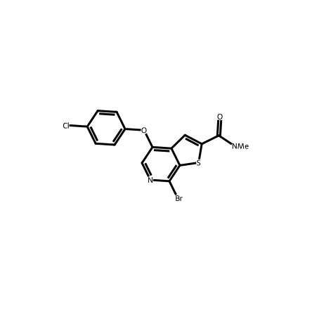 CNC(=O)c1cc2c(Oc3ccc(Cl)cc3)cnc(Br)c2s1